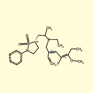 C=C/C(=C\C(F)=C(/CC)OC)CN(CC)C(C)C[C@@H]1CCN(c2ccccc2)S1(=O)=O